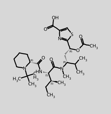 CC[C@H](C)[C@H](NC(=O)[C@H]1CCCCN1C(C)(C)C)C(=O)N(C)[C@H](C[C@@H](OC(C)=O)c1nc(C(=O)O)cs1)C(C)C